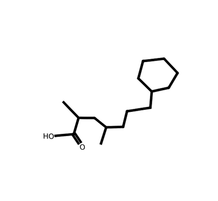 CC(CCCC1CCCCC1)CC(C)C(=O)O